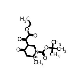 CCOC(=O)C(=O)C1CN(C(=O)OC(C)(C)C)[C@H](C)CC1=O